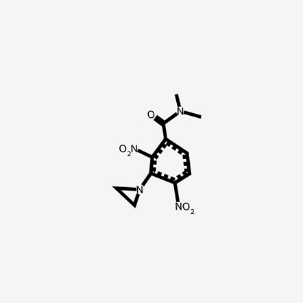 CN(C)C(=O)c1ccc([N+](=O)[O-])c(N2CC2)c1[N+](=O)[O-]